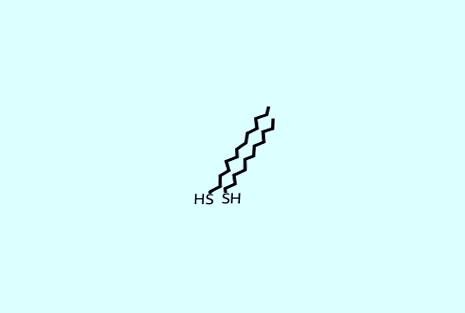 CCCCCCCCCCCCCS.CCCCCCCCCCCS